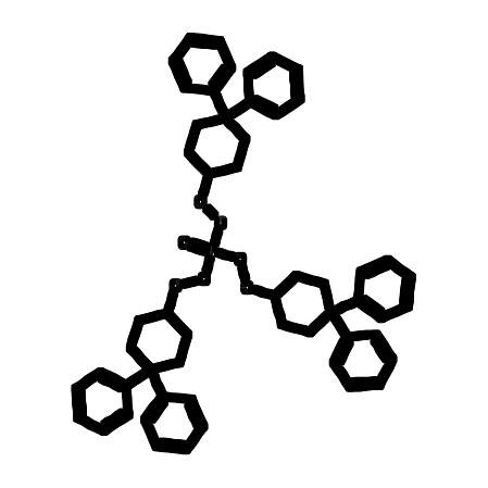 O=P(OOC1CCC(c2ccccc2)(c2ccccc2)CC1)(OOC1CCC(c2ccccc2)(c2ccccc2)CC1)OOC1CCC(c2ccccc2)(c2ccccc2)CC1